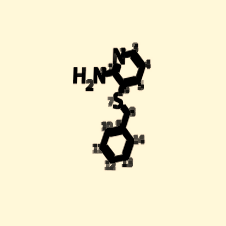 Nc1ncccc1SCc1ccccc1